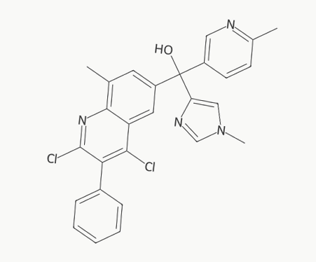 Cc1ccc(C(O)(c2cc(C)c3nc(Cl)c(-c4ccccc4)c(Cl)c3c2)c2cn(C)cn2)cn1